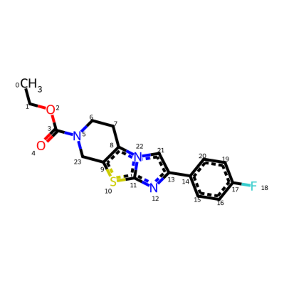 CCOC(=O)N1CCc2c(sc3nc(-c4ccc(F)cc4)cn23)C1